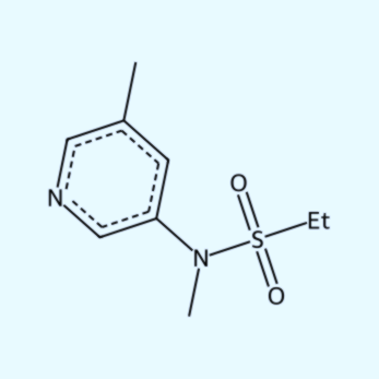 CCS(=O)(=O)N(C)c1cncc(C)c1